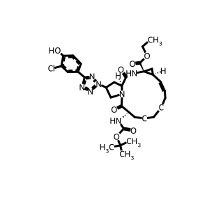 CCOC(=O)[C@@]12C[C@H]1/C=C\CCCCC[C@H](NC(=O)OC(C)(C)C)C(=O)N1CC(n3nnc(-c4ccc(O)c(Cl)c4)n3)C[C@H]1C(=O)N2